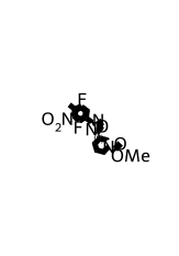 COC(=O)N1CCC[C@H](c2nc(-c3cc(F)c(C)c([N+](=O)[O-])c3F)no2)C1